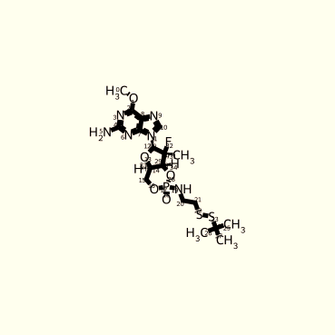 COc1nc(N)nc2c1ncn2[C@@H]1O[C@@H]2COP(=O)(NCCSSC(C)(C)C)O[C@H]2[C@@]1(C)F